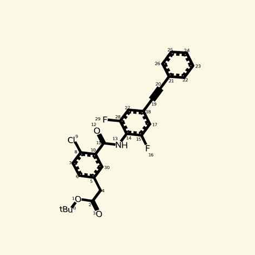 CC(C)(C)OC(=O)Cc1ccc(Cl)c(C(=O)Nc2c(F)cc(C#Cc3ccccc3)cc2F)c1